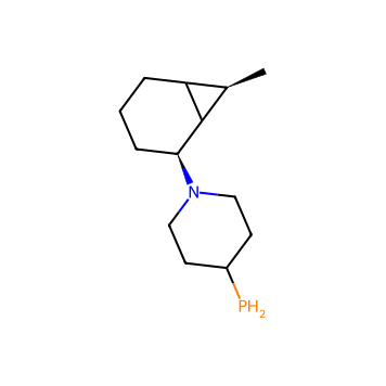 C[C@@H]1C2CCC[C@H](N3CCC(P)CC3)C21